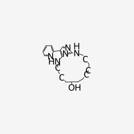 OC1CCCCCCCNc2ncc(-c3ccccn3)c(n2)NCCCC1